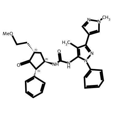 COCC[C@@H]1C[C@@H](NC(=O)Nc2c(C)c(-c3cnn(C)c3)nn2-c2ccccc2)[C@H](c2ccccc2)C1=O